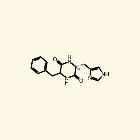 O=C1N[C@H](Cc2c[nH]cn2)C(=O)NC1Cc1ccccc1